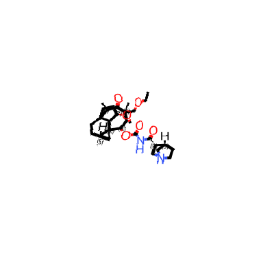 CCOC[C@]1(C)C[C@@H](OC(=O)NC(=O)[C@H]2CN3CC[C@@H]2C3)[C@]23C[C@@H]2CCC2(CC[C@@H](OC)C23)[C@@H](C)C1=O